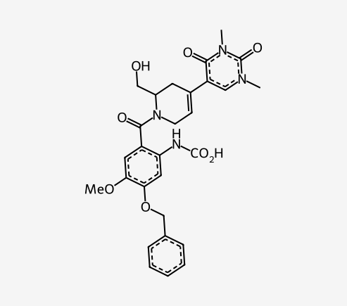 COc1cc(C(=O)N2CC=C(c3cn(C)c(=O)n(C)c3=O)CC2CO)c(NC(=O)O)cc1OCc1ccccc1